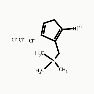 C[Si](C)(C)CC1=[C]([Hf+3])CC=C1.[Cl-].[Cl-].[Cl-]